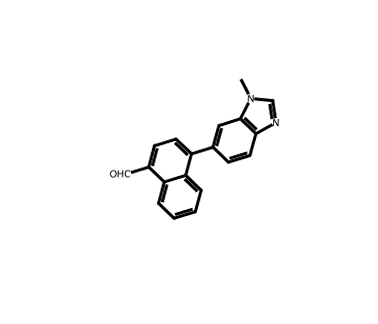 Cn1cnc2ccc(-c3ccc(C=O)c4ccccc34)cc21